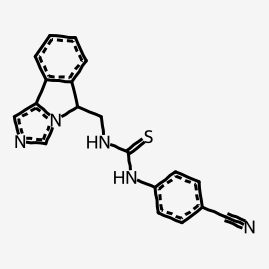 N#Cc1ccc(NC(=S)NCC2c3ccccc3-c3cncn32)cc1